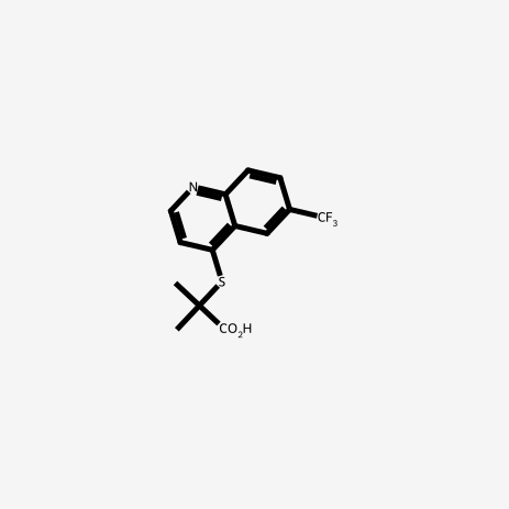 CC(C)(Sc1ccnc2ccc(C(F)(F)F)cc12)C(=O)O